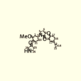 COc1cc(N2CC=C(Oc3ccc(C4CC4)cc3)C2=O)ccc1OC1CCNC1